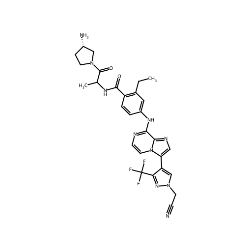 CCc1cc(Nc2nccn3c(-c4cn(CC#N)nc4C(F)(F)F)cnc23)ccc1C(=O)NC(C)C(=O)N1CC[C@H](N)C1